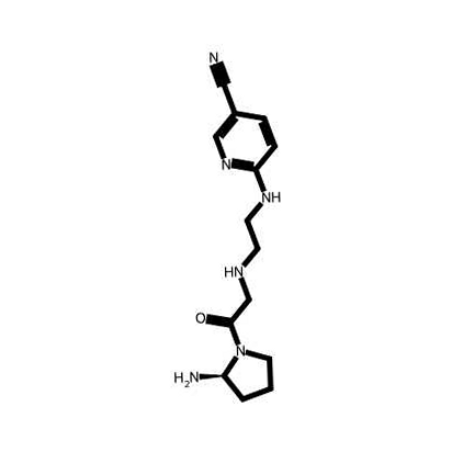 N#Cc1ccc(NCCNCC(=O)N2CCC[C@H]2N)nc1